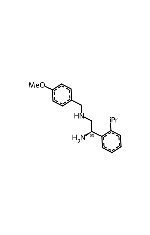 COc1ccc(CNC[C@H](N)c2ccccc2C(C)C)cc1